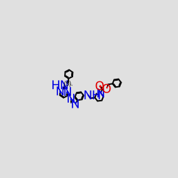 C[C@H](Nc1nccc(-n2cnc3cc(NCC4CCCN(C(=O)OCc5ccccc5)C4)ccc32)n1)c1ccccc1